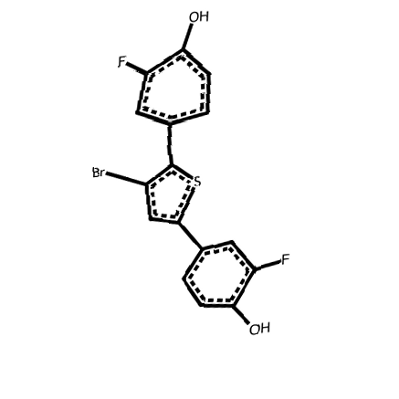 Oc1ccc(-c2cc(Br)c(-c3ccc(O)c(F)c3)s2)cc1F